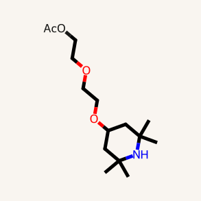 CC(=O)OCCOCCOC1CC(C)(C)NC(C)(C)C1